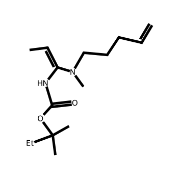 C=CCCCN(C)/C(=C/C)NC(=O)OC(C)(C)CC